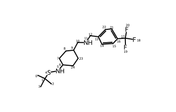 CC(C)(C)SNC1CCC(CNCc2ccc(C(F)(F)F)cc2)CC1